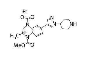 COC(=O)N1c2ccc(-c3cnn(C4CCNCC4)c3)cc2N(C(=O)OC(C)C)C[C@@H]1C